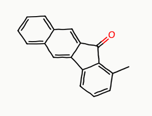 Cc1cccc2c1C(=O)c1cc3ccccc3cc1-2